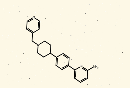 Nc1cccc(-c2ccc(C3CCN(Cc4ccncc4)CC3)cc2)n1